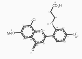 COc1cc(Cl)c2oc(-c3ccc(C(F)(F)F)cc3OCCC(=O)O)cc(=O)c2c1